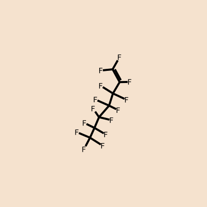 FC(F)=C(F)C(F)(F)C(F)(F)C(F)(F)C(F)(F)C(F)(F)F